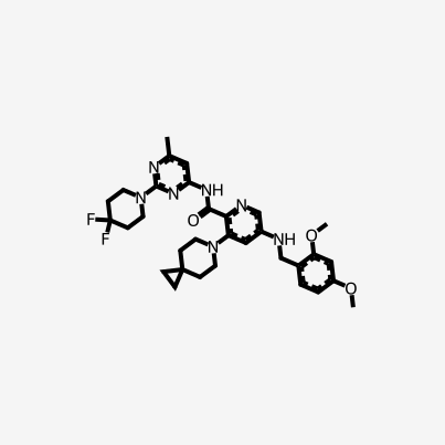 COc1ccc(CNc2cnc(C(=O)Nc3cc(C)nc(N4CCC(F)(F)CC4)n3)c(N3CCC4(CC3)CC4)c2)c(OC)c1